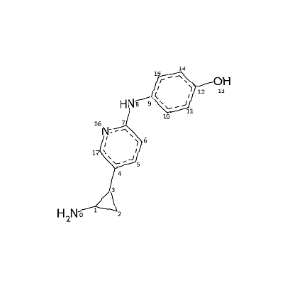 NC1CC1c1ccc(Nc2ccc(O)cc2)nc1